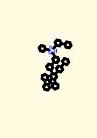 c1ccc(-c2ccc(-c3cc4c(cc3-c3cccc(-c5cccc(-c6nc(-c7ccccc7)nc(-c7cccc(-c8ccccc8)c7)n6)c5)c3)C3(c5ccccc5-c5ccccc53)c3ccccc3-4)cc2)cc1